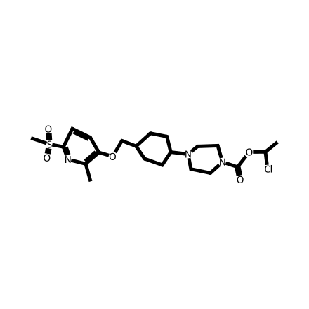 Cc1nc(S(C)(=O)=O)ccc1OCC1CCC(N2CCN(C(=O)OC(C)Cl)CC2)CC1